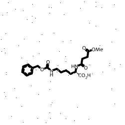 COC(=O)CCC(=O)N[C@@H](CCCCNC(=O)OCc1ccccc1)C(=O)O